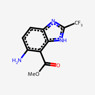 COC(=O)c1c(N)ccc2nc(C(F)(F)F)[nH]c12